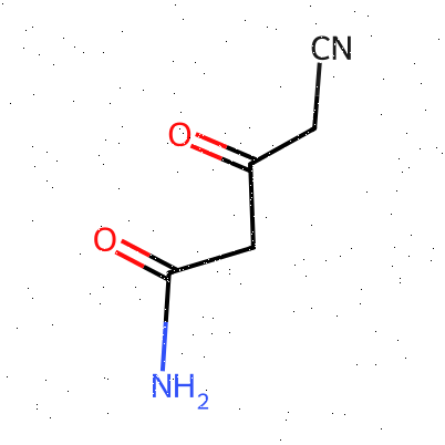 N#CCC(=O)CC(N)=O